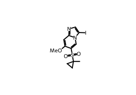 COc1cc2ncc(I)n2cc1S(=O)(=O)C1(C)CC1